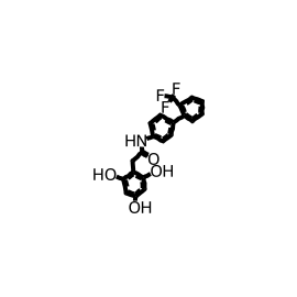 O=C(Cc1c(O)cc(O)cc1O)Nc1ccc(-c2ccccc2C(F)(F)F)cc1